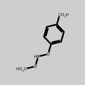 O=C(O)OBOc1ccc(C(=O)O)cc1